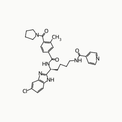 Cc1cc(C(=O)N[C@@H](CCCCNC(=O)c2ccncc2)c2nc3cc(Cl)ccc3[nH]2)ccc1C(=O)N1CCCC1